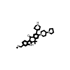 C=NCc1ccc2c3c([nH]c2c1)C(C)(C)c1cc(N2CCC(N4CCCC4)CC2)c(C2=CCNCC2)cc1C3=O